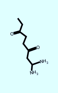 CCC(=O)CCC(=O)CC(N)N